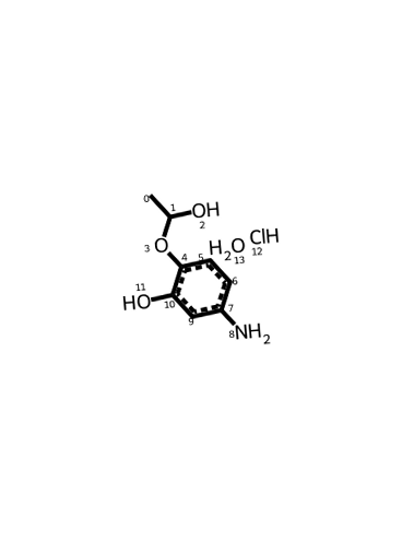 CC(O)Oc1ccc(N)cc1O.Cl.O